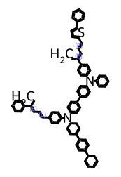 C=C/C(=C\C=C\c1ccc(N(c2ccc(-c3ccc(N(c4ccccc4)c4ccc(/C(C=C)=C/C=C/c5ccc(-c6ccccc6)s5)cc4)cc3)cc2)C2C=CC(c3ccc(C4C=CC=CC4)cc3)=CC2)cc1)c1ccccc1